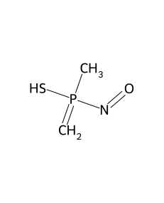 C=P(C)(S)N=O